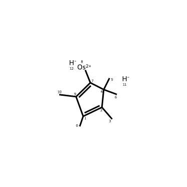 CC1=C(C)C(C)(C)[C]([Os+2])=C1C.[H-].[H-]